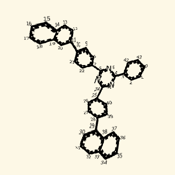 c1ccc(-c2nc(-c3ccc(-c4ccc5ccccc5c4)cc3)nc(-c3ccc(-c4cccc5ccccc45)cc3)n2)cc1